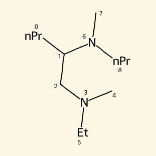 CCCC(CN(C)CC)N(C)CCC